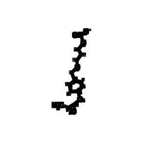 CC1OC1Oc1ccc(COCCCO[N+](=O)[O-])cc1